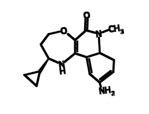 CN1C(=O)C2=C(N[C@@H](C3CC3)CCO2)C2=CC(N)=CCC21